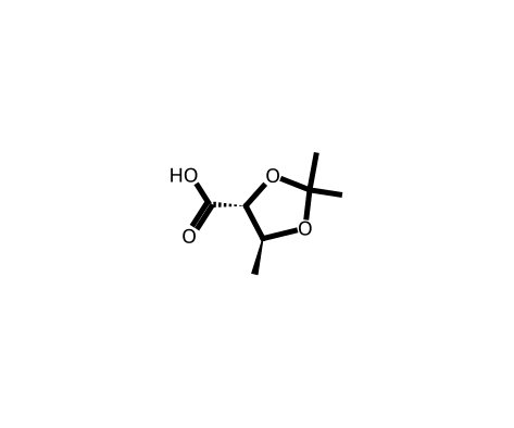 C[C@@H]1OC(C)(C)O[C@H]1C(=O)O